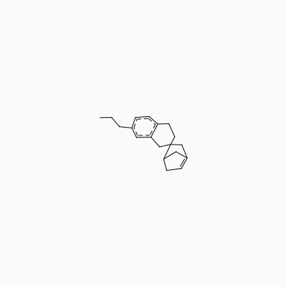 CCCc1ccc2c(c1)CC1(CC2)CC2=CCC1C2